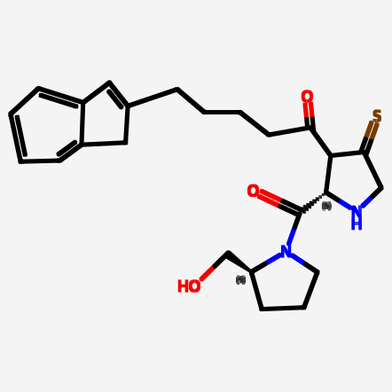 O=C(CCCCC1=Cc2ccccc2C1)C1C(=S)CN[C@@H]1C(=O)N1CCC[C@H]1CO